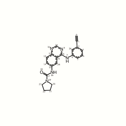 C#Cc1cccc(Nc2ncnc3ccc(NC(=O)N4CCCC4)cc23)c1